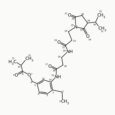 CCc1ccc(COC(=O)C(C)C)cc1NC(=O)CCNC(=O)CCN1C(=O)CC(C(C)C)C1=O